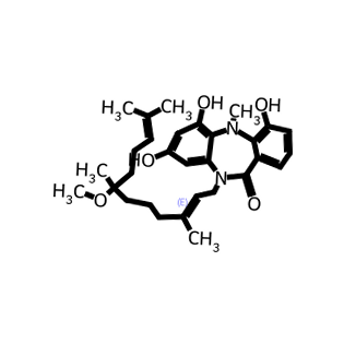 COC(C)(CCC=C(C)C)CCC/C(C)=C/CN1C(=O)c2cccc(O)c2N(C)c2c(O)cc(O)cc21